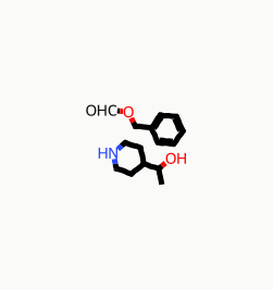 CC(O)C1CCNCC1.O=COCc1ccccc1